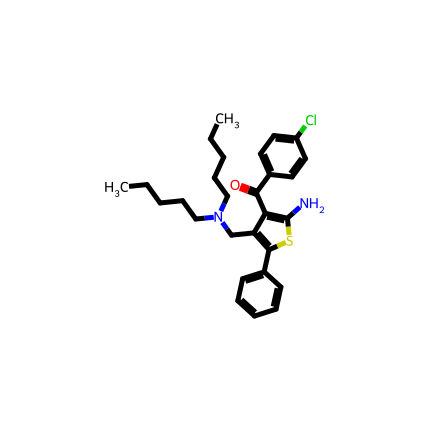 CCCCCN(CCCCC)Cc1c(-c2ccccc2)sc(N)c1C(=O)c1ccc(Cl)cc1